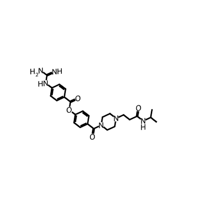 CC(C)NC(=O)CCN1CCN(C(=O)c2ccc(OC(=O)c3ccc(NC(=N)N)cc3)cc2)CC1